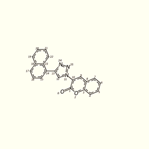 O=c1oc2ccccc2cc1-n1cc(-c2cccc3ccccc23)nn1